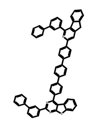 c1ccc(-c2cccc(-c3nc(-c4ccc(-c5ccc(-c6ccc(-c7cc8c(c(-c9cccc(-c%10ccccc%10)c9)n7)-c7ccccc7C8)cc6)cc5)cc4)c4c(n3)sc3ccccc34)c2)cc1